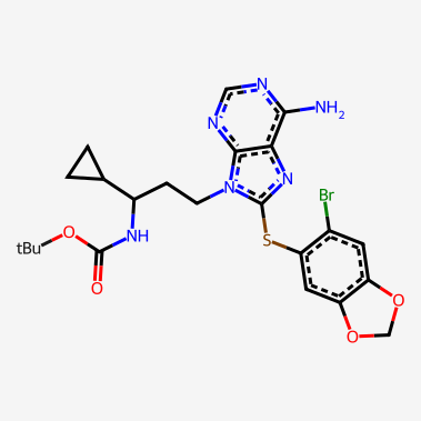 CC(C)(C)OC(=O)NC(CCn1c(Sc2cc3c(cc2Br)OCO3)nc2c(N)ncnc21)C1CC1